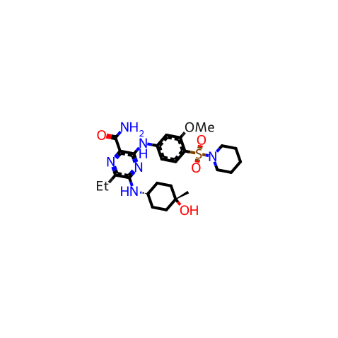 CCc1nc(C(N)=O)c(Nc2ccc(S(=O)(=O)N3CCCCC3)c(OC)c2)nc1N[C@H]1CC[C@@](C)(O)CC1